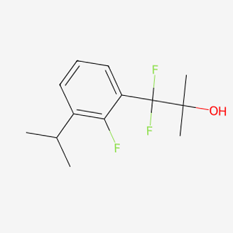 CC(C)c1cccc(C(F)(F)C(C)(C)O)c1F